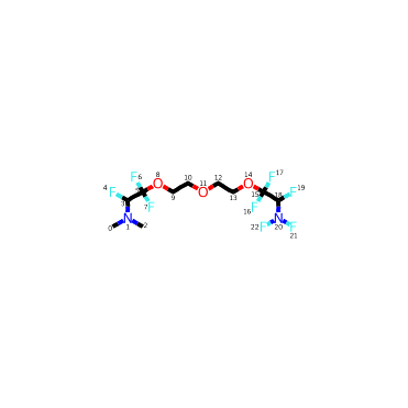 CN(C)C(F)C(F)(F)OCCOCCOC(F)(F)C(F)N(F)F